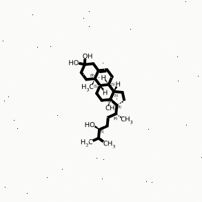 CC(C)[C@@H](O)CC[C@@H](C)[C@H]1CC[C@H]2[C@@H]3CC=C4CC(O)(O)CC[C@]4(C)[C@H]3CC[C@]12C